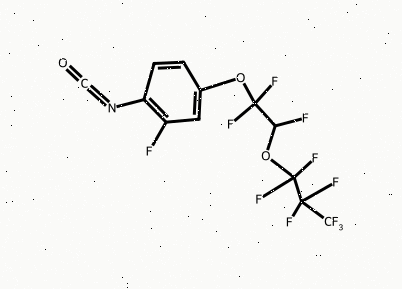 O=C=Nc1ccc(OC(F)(F)C(F)OC(F)(F)C(F)(F)C(F)(F)F)cc1F